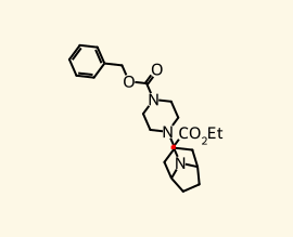 CCOC(=O)CN1C2CCC1CC(N1CCN(C(=O)OCc3ccccc3)CC1)C2